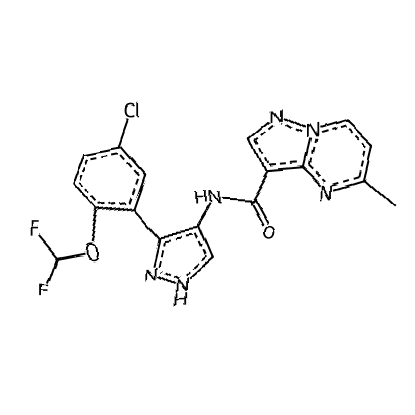 Cc1ccn2ncc(C(=O)Nc3c[nH]nc3-c3cc(Cl)ccc3OC(F)F)c2n1